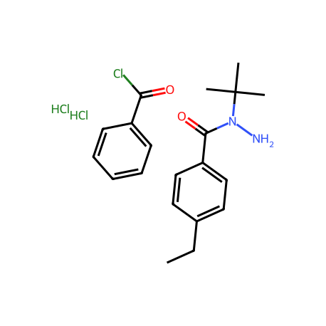 CCc1ccc(C(=O)N(N)C(C)(C)C)cc1.Cl.Cl.O=C(Cl)c1ccccc1